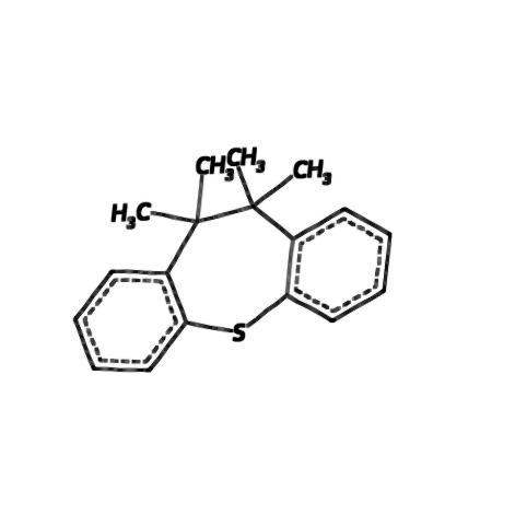 CC1(C)c2ccccc2Sc2ccccc2C1(C)C